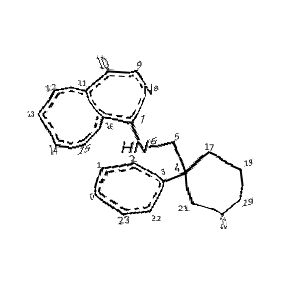 c1ccc(C2(CNc3nccc4ccccc34)CCCCC2)cc1